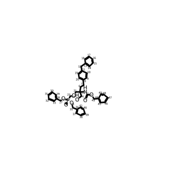 O=C(NC(CO)(CCc1ccc(Cc2ccccc2)cc1)COCP(=O)(OCc1ccccc1)OCc1ccccc1)OCc1ccccc1